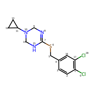 Clc1ccc(CSC2=NCN(C3CC3)CN2)cc1Cl